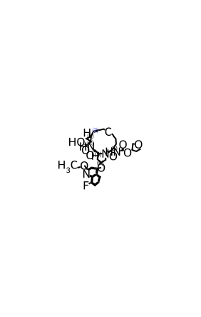 CCOc1cc(O[C@@H]2C[C@H]3C(=O)N[C@]4(C(=O)O)C[C@H]4/C=C\CCCCC[C@H](NC(=O)OC4CCOC4)C(=O)N3C2)c2cccc(F)c2n1